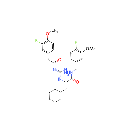 COc1cc(CNC(=O)C(CC2CCCCC2)NC(N)=NC(=O)Cc2ccc(OC(F)(F)F)c(F)c2)ccc1F